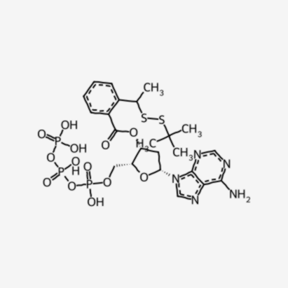 CC(SSC(C)(C)C)c1ccccc1C(=O)O[C@@H]1C[C@H](n2cnc3c(N)ncnc32)O[C@@H]1COP(=O)(O)OP(=O)(O)OP(=O)(O)O